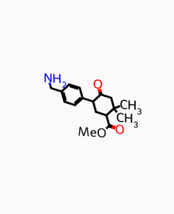 COC(=O)C1CC(c2ccc(CN)cc2)C(=O)CC1(C)C